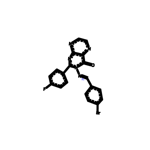 O=c1c2nccnc2nc(-c2ccc(F)cc2)n1/N=C/c1ccc(Br)cc1